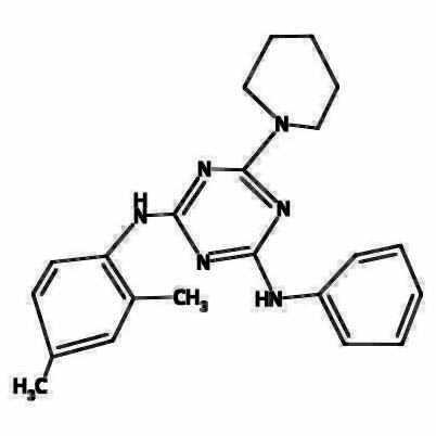 Cc1ccc(Nc2nc(Nc3ccccc3)nc(N3CCCCC3)n2)c(C)c1